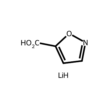 O=C(O)c1ccno1.[LiH]